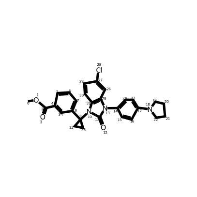 COC(=O)c1cccc(C2(n3c(=O)n(-c4ccc(N5CCCC5)cc4)c4cc(Cl)ccc43)CC2)c1